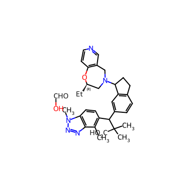 CC[C@@H]1CN(C2CCc3ccc(C(c4ccc5c(nnn5C)c4C)C(C)(C)C(=O)O)cc32)Cc2cnccc2O1.O=CO